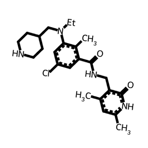 CCN(CC1CCNCC1)c1cc(Cl)cc(C(=O)NCc2c(C)cc(C)[nH]c2=O)c1C